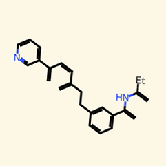 C=C(/C=C\C(=C)c1cccnc1)CCc1cccc(C(=C)NC(=C)CC)c1